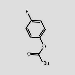 CCC(C)C(=O)Oc1ccc(F)cc1